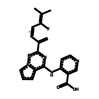 C=C(/C=C\C(F)=C(C)C)c1nc(Nc2ccncc2C(=O)O)c2cccn2n1